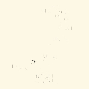 C[C@H](OC(=O)OC(C)(C)C)C(=O)NCCC(=O)OC1=CC[C@@]2(O)[C@H]3Cc4ccc(O)c5c4[C@@]2(CCN3C)[C@H]1O5